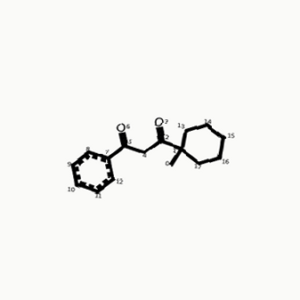 CC1(C(=O)CC(=O)c2ccccc2)CCCCC1